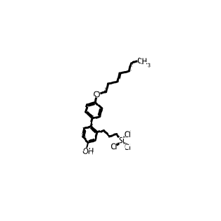 CCCCCCCOc1ccc(-c2ccc(O)cc2CCC[Si](Cl)(Cl)Cl)cc1